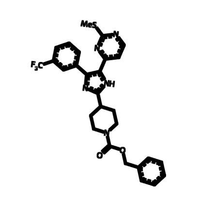 CSc1nccc(-c2[nH]c(C3CCN(C(=O)OCc4ccccc4)CC3)nc2-c2cccc(C(F)(F)F)c2)n1